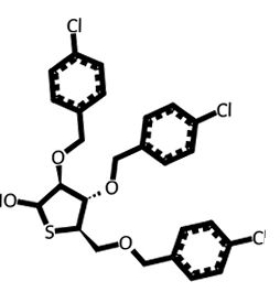 OC1S[C@H](COCc2ccc(Cl)cc2)[C@@H](OCc2ccc(Cl)cc2)[C@@H]1OCc1ccc(Cl)cc1